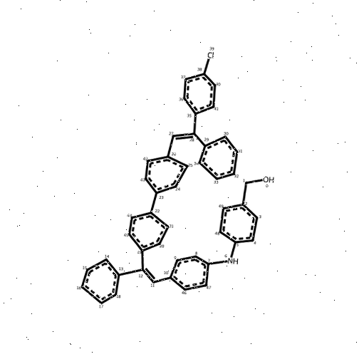 OCc1ccc(Nc2ccc(C=C(c3ccccc3)c3ccc(-c4ccc(C=C(c5ccccc5)c5ccc(Cl)cc5)cc4)cc3)cc2)cc1